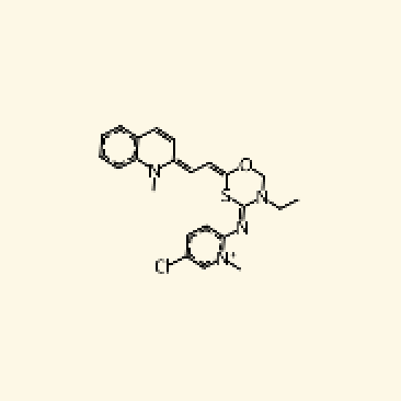 CCN1CO/C(=C/C=C2\C=Cc3ccccc3N2C)S/C1=N\c1ccc(Cl)c[n+]1C